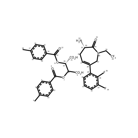 Cc1ccc(C(=O)OC(C(=O)O)[C@H](OC(=O)c2ccc(C)cc2)C(=O)O)cc1.N[C@H]1CC=C(c2cccc(F)c2F)CN(CC(F)(F)F)C1=O